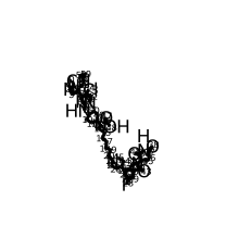 Cn1ncc(-c2nc(NC3CCC(N(CCCCCCCN4CCC(c5cc(F)cc6c5CN(C5CCC(=O)NC5=O)C6=O)CC4)C(=O)O)CC3)ncc2Cl)c1CC1CC1